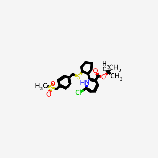 CC(C)(C)OC(=O)C1=C(C2CCCCC2SCc2ccc(CS(C)(=O)=O)cc2)NC(Cl)=CC=C1